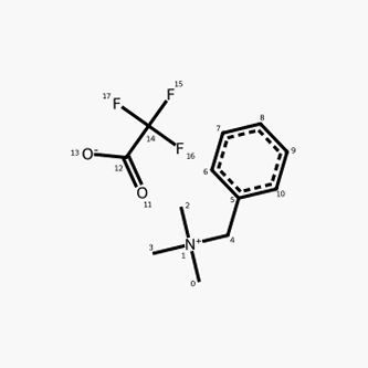 C[N+](C)(C)Cc1ccccc1.O=C([O-])C(F)(F)F